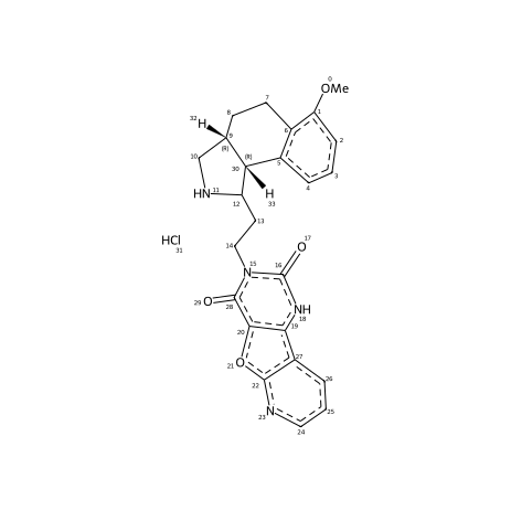 COc1cccc2c1CC[C@H]1CNC(CCn3c(=O)[nH]c4c(oc5ncccc54)c3=O)[C@@H]21.Cl